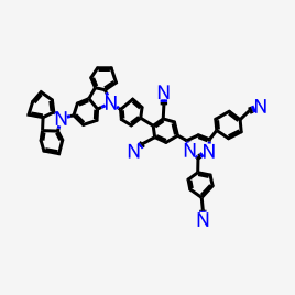 N#Cc1ccc(-c2cc(-c3cc(C#N)c(-c4ccc(-n5c6ccccc6c6cc(-n7c8ccccc8c8ccccc87)ccc65)cc4)c(C#N)c3)nc(-c3ccc(C#N)cc3)n2)cc1